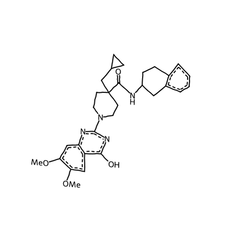 COc1cc2nc(N3CCC(CC4CC4)(C(=O)NC4CCc5ccccc5C4)CC3)nc(O)c2cc1OC